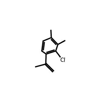 C=C(C)c1ccc(C)c(C)c1Cl